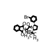 C[C@H](C(=O)N1[C@H](c2cccc(Br)c2)CC[C@@H]1C(C)(C)C#N)N1C(=O)c2ccccc2C1=O